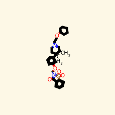 CC1CN(CCOC2CCCCC2)CCC1(C)c1cccc(OCN2C(=O)c3ccccc3S2(=O)=O)c1